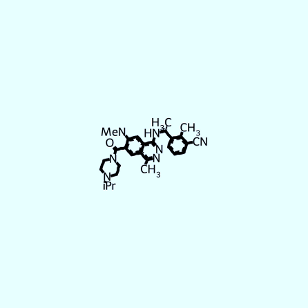 CNc1cc2c(N[C@H](C)c3cccc(C#N)c3C)nnc(C)c2cc1C(=O)N1CCN(C(C)C)CC1